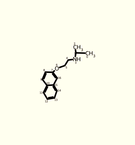 CC(C)NCCOc1ccc2ccccc2c1